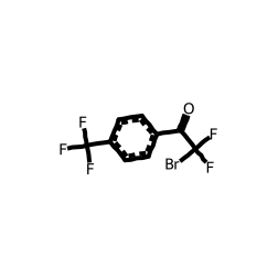 O=C(c1ccc(C(F)(F)F)cc1)C(F)(F)Br